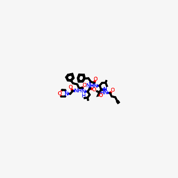 C#CCCC(=O)NN=C(C(CC(C)C)NC(=O)C(Cc1ccccc1)NC(=O)C(CC(C)C)NC(=O)C(CCc1ccccc1)NC(=O)CN1CCOCC1)C1(C)CO1